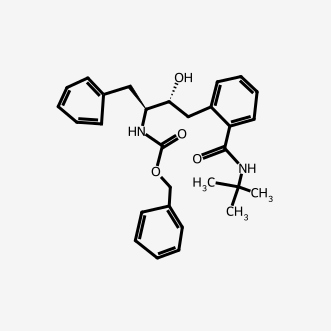 CC(C)(C)NC(=O)c1ccccc1C[C@@H](O)[C@H](Cc1ccccc1)NC(=O)OCc1ccccc1